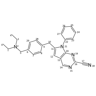 CCN(CC)Cc1ccc(Cc2cc3cnc(C#N)nc3n2-c2ccccc2)cc1